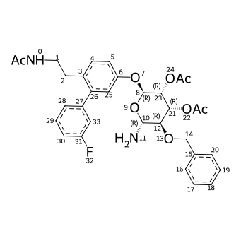 CC(=O)NCCc1ccc(O[C@@H]2O[C@@H](N)[C@H](OCc3ccccc3)[C@@H](OC(C)=O)[C@H]2OC(C)=O)cc1-c1cccc(F)c1